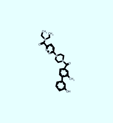 CCN(CC)C(=O)c1ccc(N2CCN(C(=O)c3ccc(-c4cccc(O)c4)c(C)c3)CC2)nn1